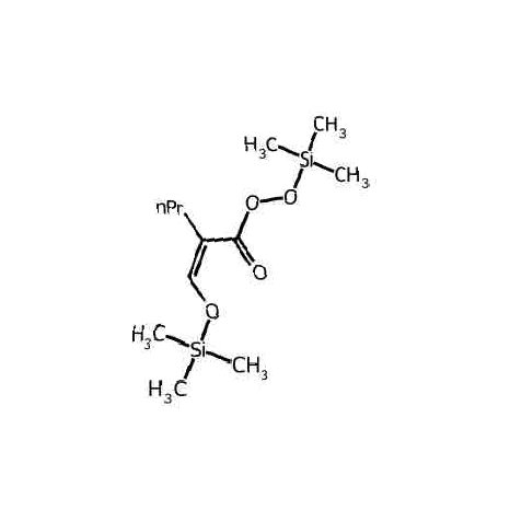 CCCC(=CO[Si](C)(C)C)C(=O)OO[Si](C)(C)C